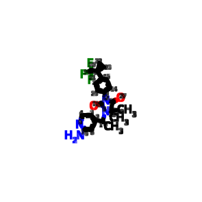 CC(c1ccnc(N)c1)N1C(=O)N(c2ccc(C3(C(F)(F)F)CC3)cc2)C(=O)C1(C)C